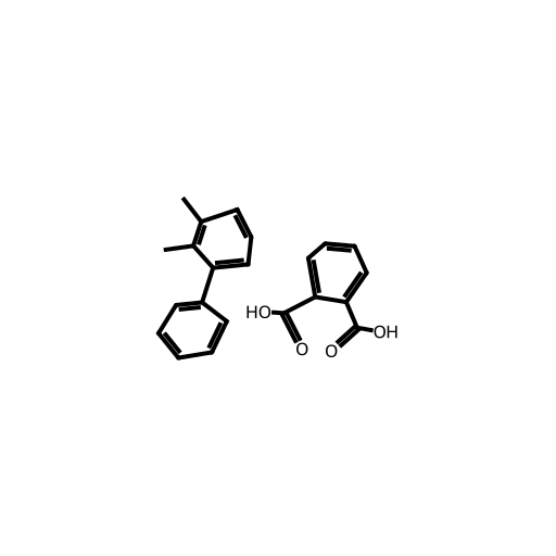 Cc1cccc(-c2ccccc2)c1C.O=C(O)c1ccccc1C(=O)O